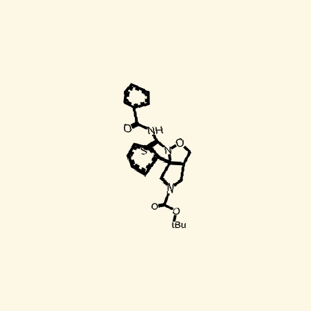 CC(C)(C)OC(=O)N1CC2CON(C(=S)NC(=O)c3ccccc3)C2(c2ccccc2)C1